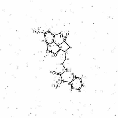 Cc1cc(C)c(C2C(=O)CC(CCNC(=O)N(C)c3ccccn3)C2=O)c(C)c1